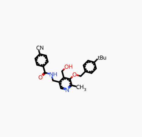 Cc1ncc(CNC(=O)c2ccc(C#N)cc2)c(CO)c1OCc1ccc(C(C)(C)C)cc1